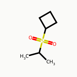 CC(C)S(=O)(=O)C1CCC1